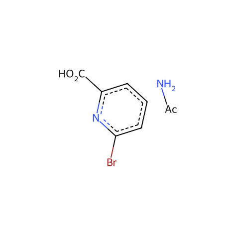 CC(N)=O.O=C(O)c1cccc(Br)n1